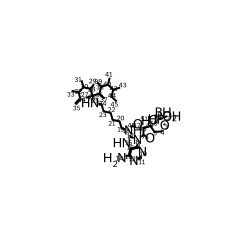 B[PH]1(O)OCC2OC(N3c4ncnc(N)c4NC3NCCCCCCNC(C)(C(C)C(C)C(C)C=C)C(C)C(C)C(C)C(C)CC)C(OC)[C@@H]2O1